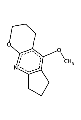 COc1c2c(nc3c1CCCO3)CCC2